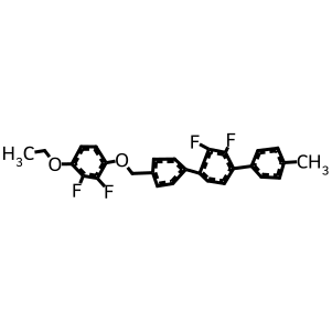 CCOc1ccc(OCc2ccc(-c3ccc(-c4ccc(C)cc4)c(F)c3F)cc2)c(F)c1F